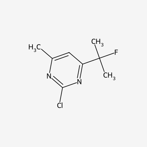 Cc1cc(C(C)(C)F)nc(Cl)n1